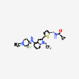 CN1CC[C@H](Nc2cccc3c2cc(-c2ccc(CNC(=O)C4CC4)s2)n3CC(F)(F)F)[C@H](F)C1